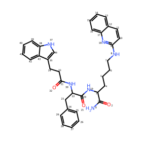 NC(=O)C(CCCCNc1ccc2ccccc2n1)NC(=O)C(Cc1ccccc1)NC(=O)CCc1c[nH]c2ccccc12